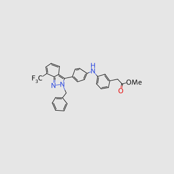 COC(=O)Cc1cccc(Nc2ccc(-c3c4cccc(C(F)(F)F)c4nn3Cc3ccccc3)cc2)c1